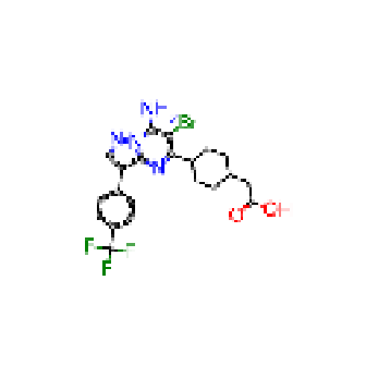 Nc1c(Br)c(C2CCC(CC(=O)O)CC2)nc2c(-c3ccc(C(F)(F)F)cc3)cnn12